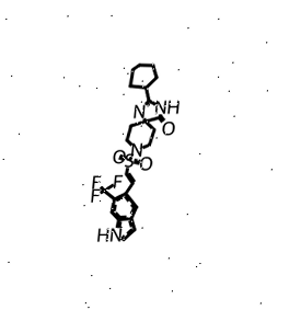 O=C1NC(C2CCCCC2)=NC12CCN(S(=O)(=O)C=Cc1cc3cc[nH]c3cc1C(F)(F)F)CC2